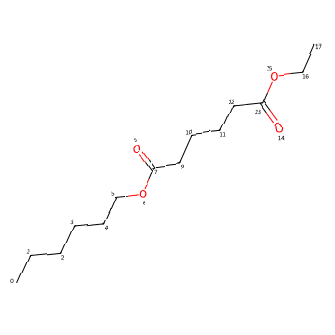 CCCCCCOC(=O)CCCCC(=O)OCC